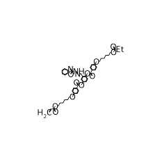 C=CC(=O)OCCCCCCOc1ccc(C(=O)Oc2ccc(OC(=O)c3ccc(OCCCCCCOC(=O)CC)cc3)c(/C=N/Nc3nc4ccccc4o3)c2)cc1